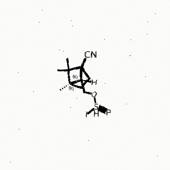 CC1(C)C2(C#N)CC[C@]1(C)[C@H]2CO[SH](#P)I